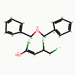 OC(Br)=CC(F)CF.c1ccc(COCc2ccccc2)cc1